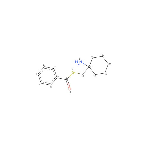 NC1(CSC(=O)c2ccccc2)CCCCC1